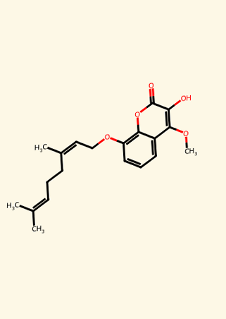 COc1c(O)c(=O)oc2c(OCC=C(C)CCC=C(C)C)cccc12